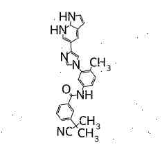 Cc1ccc(NC(=O)c2cccc(C(C)(C)C#N)c2)cc1-n1cnc(C2=CNC3NC=CC3=C2)c1